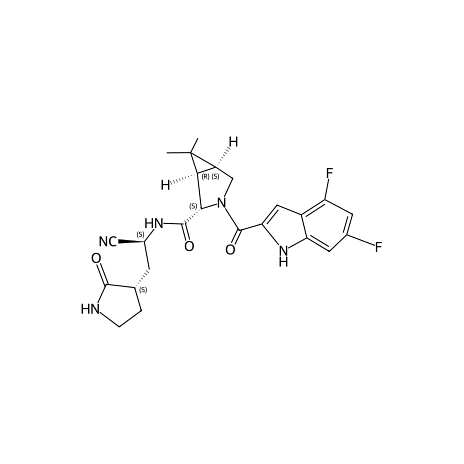 CC1(C)[C@@H]2[C@@H](C(=O)N[C@H](C#N)C[C@@H]3CCNC3=O)N(C(=O)c3cc4c(F)cc(F)cc4[nH]3)C[C@@H]21